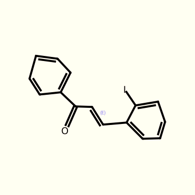 O=C(/C=C/c1ccccc1I)c1ccccc1